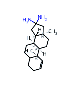 C[C@]12CC[C@@H]3[C@@H](CCC4CCC=C[C@@]43C)[C@@H]1CC(N)(N)C2